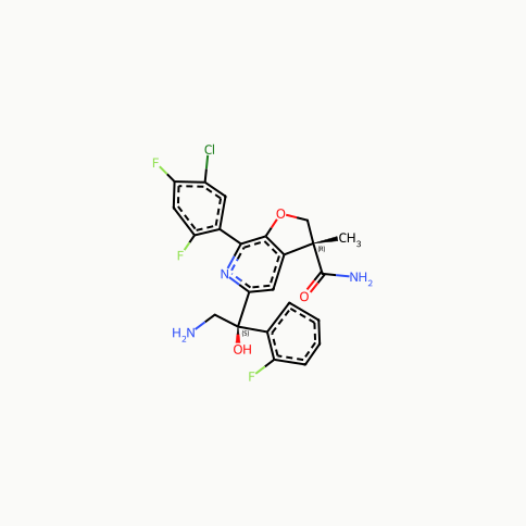 C[C@]1(C(N)=O)COc2c1cc([C@@](O)(CN)c1ccccc1F)nc2-c1cc(Cl)c(F)cc1F